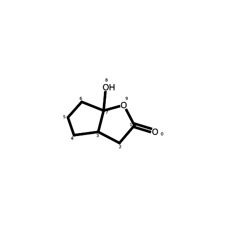 O=C1CC2CCCC2(O)O1